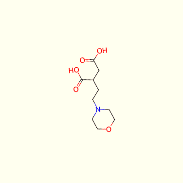 O=C(O)CC(CCN1CCOCC1)C(=O)O